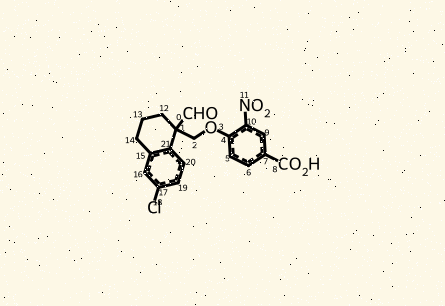 O=CC1(COc2ccc(C(=O)O)cc2[N+](=O)[O-])CCCc2cc(Cl)ccc21